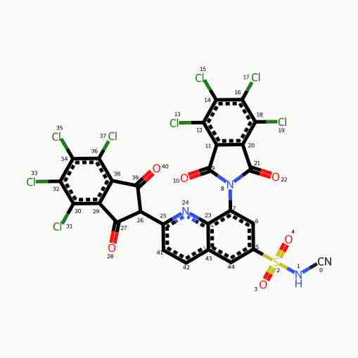 N#CNS(=O)(=O)c1cc(N2C(=O)c3c(Cl)c(Cl)c(Cl)c(Cl)c3C2=O)c2nc(C3C(=O)c4c(Cl)c(Cl)c(Cl)c(Cl)c4C3=O)ccc2c1